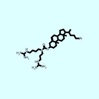 CC(C)CCCC(C)C1CCC2C3CC=C4CC(OC(=O)N(CCCCNC(N)N)CCCNC(N)N)CCC4(C)C3CCC12C